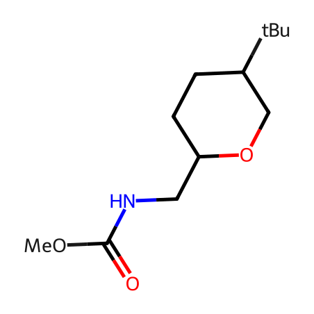 COC(=O)NCC1CCC(C(C)(C)C)CO1